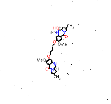 COc1cc2c(cc1OCCCCCOc1cc3c(cc1OC)C(=O)N1C=C(C)C[C@H]1[C@H](O)N3C(C)C)N=C[C@@H]1CC(C)=CN1C2=O